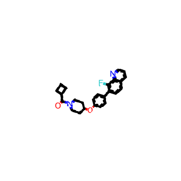 O=C(C1CCC1)N1CCC(Oc2ccc(-c3ccc4cccnc4c3F)cc2)CC1